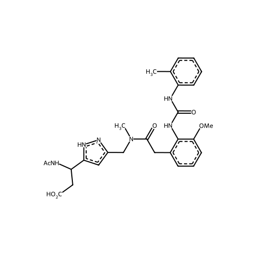 COc1cccc(CC(=O)N(C)Cc2cc(C(CC(=O)O)NC(C)=O)[nH]n2)c1NC(=O)Nc1ccccc1C